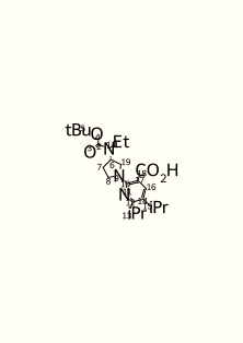 CCN(C(=O)OC(C)(C)C)[C@H]1CCN(c2nc(C(C)C)c(C(C)C)cc2C(=O)O)C1